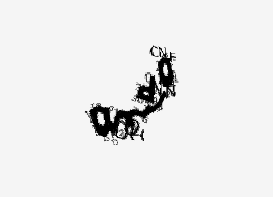 CC1(n2c(CCCCC(=O)C[C@@](C)(O)c3ccccc3)nc3cc(F)c(C#N)cc32)CCC1